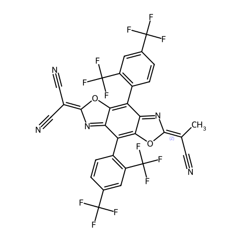 C/C(C#N)=c1\nc2c(-c3ccc(C(F)(F)F)cc3C(F)(F)F)c3oc(=C(C#N)C#N)nc3c(-c3ccc(C(F)(F)F)cc3C(F)(F)F)c2o1